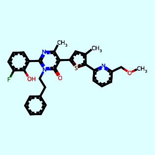 COCc1cccc(-c2sc(-c3c(C)nc(-c4cccc(F)c4O)n(CCc4ccccc4)c3=O)cc2C)n1